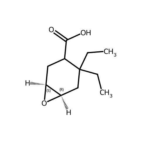 CCC1(CC)C[C@H]2O[C@H]2CC1C(=O)O